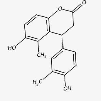 Cc1cc([C@H]2CC(=O)Oc3ccc(O)c(C)c32)ccc1O